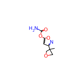 CC1(c2cc(OC(N)=O)on2)COC1